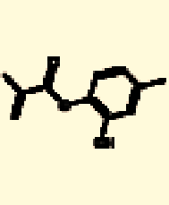 C=C(C)C(=O)Oc1ccc(C)cc1O